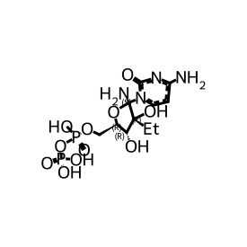 CC[C@@]1(O)[C@H](O)[C@@H](COP(=O)(O)OP(=O)(O)O)O[C@@]1(N)n1ccc(N)nc1=O